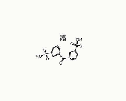 O=C(c1cccc(S(=O)(=O)O)c1)c1cccc(S(=O)(=O)O)c1.[KH].[KH]